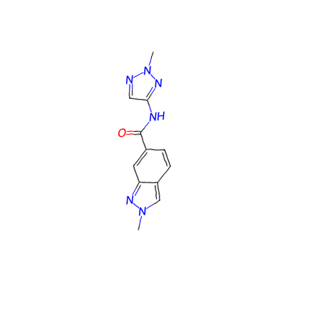 Cn1cc2ccc(C(=O)Nc3cnn(C)n3)cc2n1